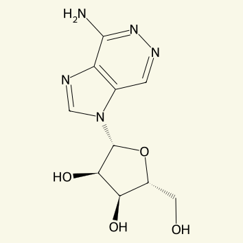 Nc1nncc2c1ncn2[C@@H]1O[C@H](CO)[C@@H](O)[C@H]1O